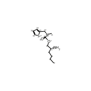 CCCC[C@H](N)COC(=O)N(C)Cc1cccs1